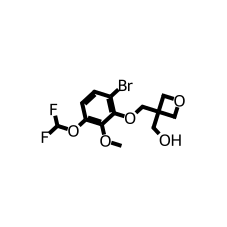 COc1c(OC(F)F)ccc(Br)c1OCC1(CO)COC1